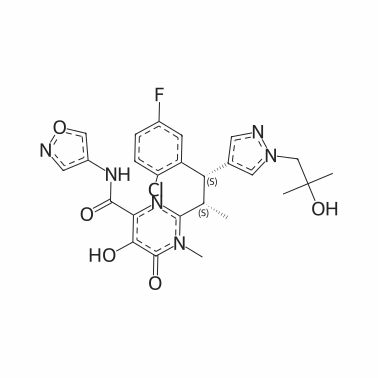 C[C@H](c1nc(C(=O)Nc2cnoc2)c(O)c(=O)n1C)[C@@H](c1cnn(CC(C)(C)O)c1)c1cc(F)ccc1Cl